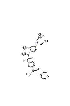 CN/C=C(\C=N)c1ccc(C(N)c2cc3sc(N(C)C(=O)CN4CCOCC4)cc3[nH]2)c(N)c1